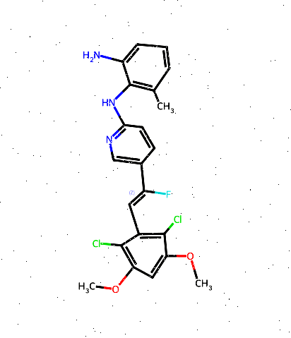 COc1cc(OC)c(Cl)c(/C=C(\F)c2ccc(Nc3c(C)cccc3N)nc2)c1Cl